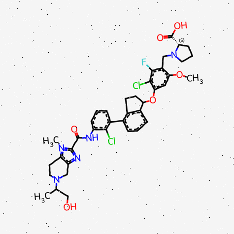 COc1cc(OC2CCc3c(-c4cccc(NC(=O)c5nc6c(n5C)CCN(C(C)CO)C6)c4Cl)cccc32)c(Cl)c(F)c1CN1CCC[C@H]1C(=O)O